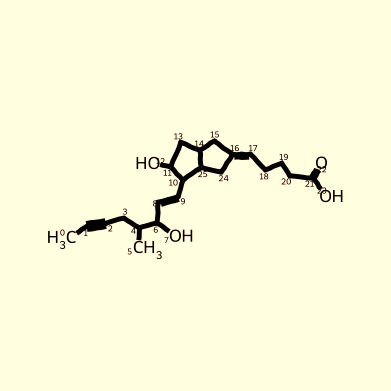 CC#CCC(C)C(O)C=CC1C(O)CC2CC(=CCCCC(=O)O)CC21